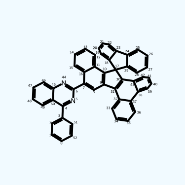 c1ccc(-c2nc(-c3cc4c(c5ccccc35)C3(c5ccccc5-c5ccccc53)c3c-4c4ccccc4c4ccccc34)nc3ccccc23)cc1